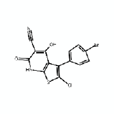 N#Cc1c(O)c2c(-c3ccc(Br)cc3)c(Cl)sc2[nH]c1=O